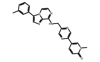 Cc1cccc(-c2cnc3c(NCc4cnc(-c5ccc(=O)n(C)c5)cn4)nccn23)c1